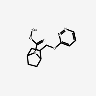 CC(C)(C)OC(=O)N1C2CCC1C(COc1cccnn1)C2